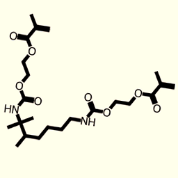 C=C(C)C(=O)OCCOC(=O)NCCCCC(C)C(C)(C)NC(=O)OCCOC(=O)C(=C)C